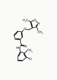 Cc1noc(C)c1COc1cccc(C(=O)Nc2cccc(Cl)c2C)c1